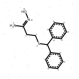 NC(CCSC(c1ccccc1)c1ccccc1)=NO